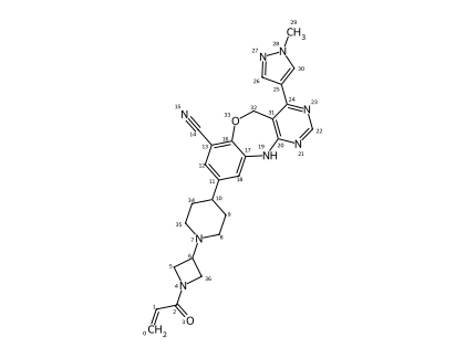 C=CC(=O)N1CC(N2CCC(c3cc(C#N)c4c(c3)Nc3ncnc(-c5cnn(C)c5)c3CO4)CC2)C1